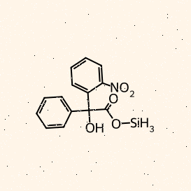 O=C(O[SiH3])C(O)(c1ccccc1)c1ccccc1[N+](=O)[O-]